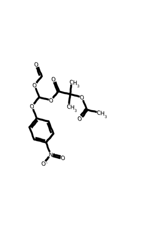 CC(=O)OC(C)(C)C(=O)OC(OC=O)Oc1ccc([N+](=O)[O-])cc1